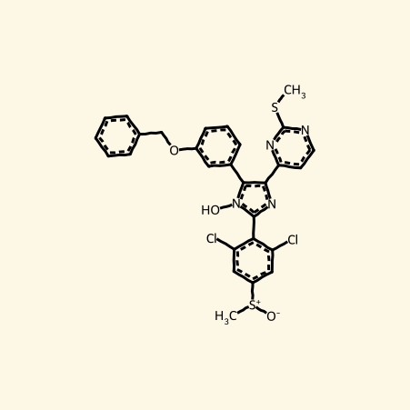 CSc1nccc(-c2nc(-c3c(Cl)cc([S+](C)[O-])cc3Cl)n(O)c2-c2cccc(OCc3ccccc3)c2)n1